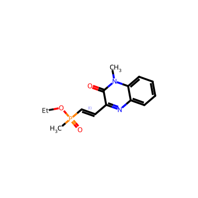 CCOP(C)(=O)/C=C/c1nc2ccccc2n(C)c1=O